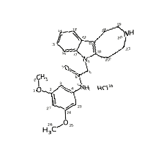 COc1cc(NC(=O)Cn2c3c(c4ccccc42)CCNCC3)cc(OC)c1.Cl